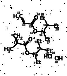 C=C(C)C(=O)ON(CC)C(CC)CC.C=CC(=O)ON(CC)C(CC)CC.Cl.Cl